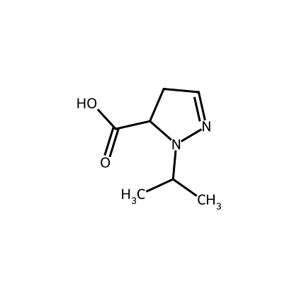 CC(C)N1N=CCC1C(=O)O